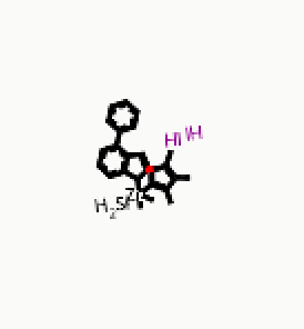 CC1=Cc2c(-c3ccccc3)cccc2[CH]1[Zr]([CH3])([CH3])(=[SiH2])[C]1=C(C)C(C)=C(C)C1C.I.I